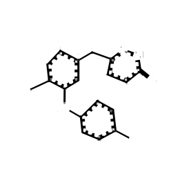 Cc1ccc(Cc2ccc(=O)[nH]n2)cc1Oc1ccc(Cl)cc1